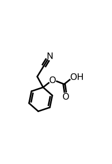 N#CCC1(OC(=O)O)C=CCC=C1